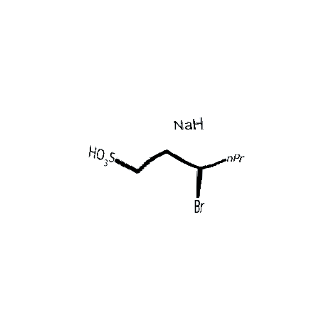 CCCC(Br)CCS(=O)(=O)O.[NaH]